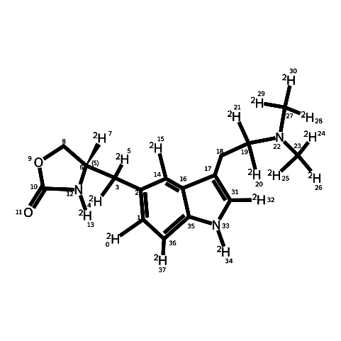 [2H]c1c(C([2H])([2H])[C@@]2([2H])COC(=O)N2[2H])c([2H])c2c(CC([2H])([2H])N(C([2H])([2H])[2H])C([2H])([2H])[2H])c([2H])n([2H])c2c1[2H]